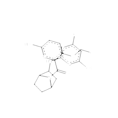 CCOc1ccc(C)nc1C(=O)N1C2CCC1C(Nc1nc(C)cc(C)n1)C2